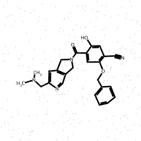 CN(C)Cc1cc2c(cn1)CN(C(=O)c1cc(OCc3ccccc3)c(C#N)cc1O)C2